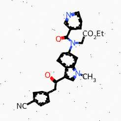 CCOC(=O)CN(C(=O)c1cccnc1)c1ccc2c(C(=O)Cc3ccc(C#N)cc3)cn(C)c2c1